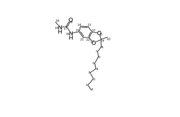 CCCCCCCCCC1(C)Oc2ccc(NC(=O)NC)cc2O1